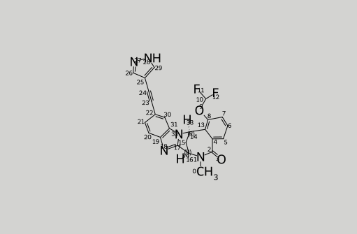 CN1C(=O)c2cccc(OC(F)F)c2[C@H]2C[C@@H]1c1nc3ccc(C#Cc4cn[nH]c4)cc3n12